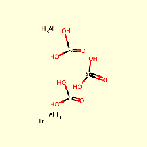 O=[Si](O)O.O=[Si](O)O.O=[Si](O)O.[AlH3].[AlH3].[Er]